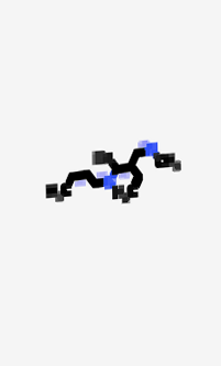 C=CC(/C=N\C)=C(\N=C/C=C\C)C(C)CC